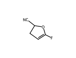 N#CC1CC=C(F)O1